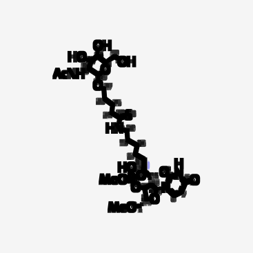 COC[C@H]1O[C@@H](n2ccc(=O)[nH]c2=O)[C@@H](C/C=C/CCCCNC(=S)CCCCO[C@@H]2O[C@H](CO)[C@H](O)[C@H](O)[C@H]2NC(C)=O)C1OP(=O)(O)OC